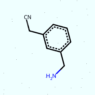 N#CCc1cccc(CN)c1